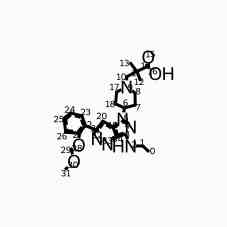 CCNc1nn(C2CCN(CC(C)(C)C(=O)O)CC2)c2cc(-c3ccccc3OCOC)nnc12